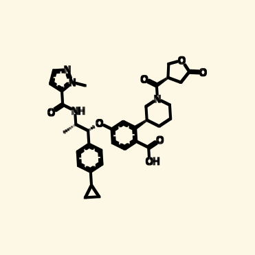 C[C@H](NC(=O)c1ccnn1C)[C@H](Oc1ccc(C(=O)O)c([C@@H]2CCCN(C(=O)[C@H]3COC(=O)C3)C2)c1)c1ccc(C2CC2)cc1